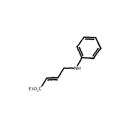 CCOC(=O)C=CCNc1ccccc1